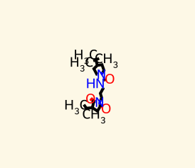 CC(C)C1CC(=O)N(CCCNC(=O)N2CCC(C(C)(C)C)CC2)C1=O